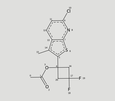 CC(=O)OC1(c2sc3nc(Cl)ccc3c2C)CC(F)(F)C1